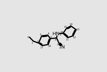 CCc1ccc(C(C#N)Nc2ccccc2)cc1